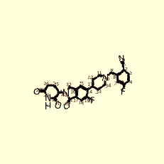 N#Cc1ccc(F)cc1CN1CCC(c2cc3c(cc2F)C(=O)N(C2CCC(=O)NC2=O)C3)CC1